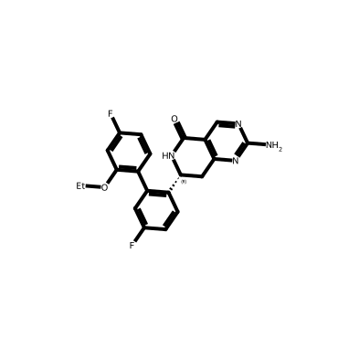 CCOc1cc(F)ccc1-c1cc(F)ccc1[C@H]1Cc2nc(N)ncc2C(=O)N1